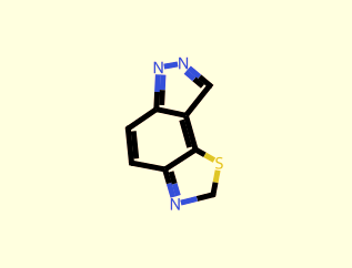 C1=NN=c2ccc3c(c21)SCN=3